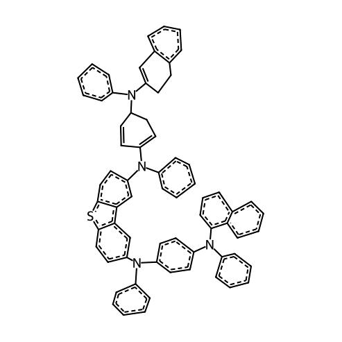 C1=CC(N(C2=Cc3ccccc3CC2)c2ccccc2)CC=C1N(c1ccccc1)c1ccc2sc3ccc(N(c4ccccc4)c4ccc(N(c5ccccc5)c5cccc6ccccc56)cc4)cc3c2c1